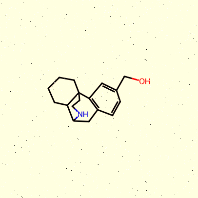 OCc1ccc2c(c1)C13CCCCC1C(C2)NCC3